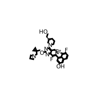 CCc1c(F)ccc2cc(O)cc(-c3ncc4c(N5CCC[C@H](CCO)C5)nc(OCC5(CN6CCC6)CC5)nc4c3F)c12